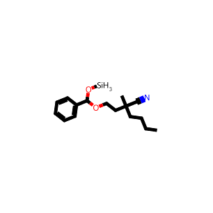 CCCCC(C)(C#N)CCOC(O[SiH3])c1ccccc1